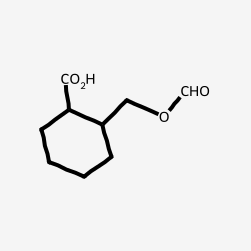 O=COCC1CCCCC1C(=O)O